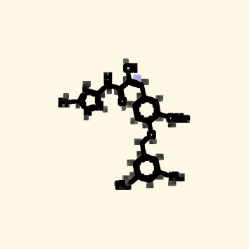 CCc1nnc(NC(=O)/C(C#N)=C\c2ccc(OCc3cc(C(C)(C)C)cc(C(C)(C)C)c3)c(OC)c2)s1